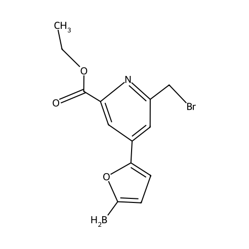 Bc1ccc(-c2cc(CBr)nc(C(=O)OCC)c2)o1